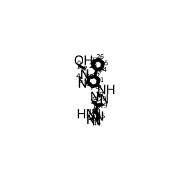 OCCn1cnc2cc(Nc3ncc(-c4nnn[nH]4)cn3)cc(-c3ccccc3)c21